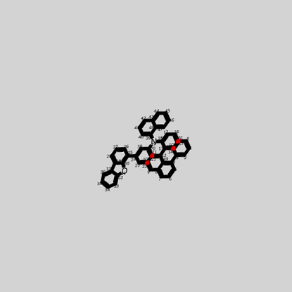 c1ccc(-c2cccc3cccc(-c4ccccc4N(c4cccc(-c5cccc6c5oc5ccccc56)c4)c4cccc5ccccc45)c23)cc1